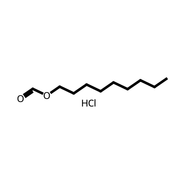 CCCCCCCCCOC=O.Cl